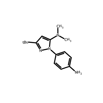 CN(C)c1cc(C(C)(C)C)nn1-c1ccc(N)cc1